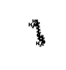 COc1ccc(OCCCCC[C@@H](N)CS)cc1